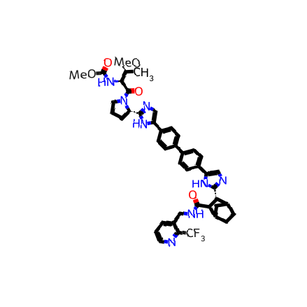 COC(=O)N[C@H](C(=O)N1CCC[C@H]1c1ncc(-c2ccc(-c3ccc(-c4cnc([C@@H]5C6CCC(C6)C5C(=O)NCc5cccnc5C(F)(F)F)[nH]4)cc3)cc2)[nH]1)[C@@H](C)OC